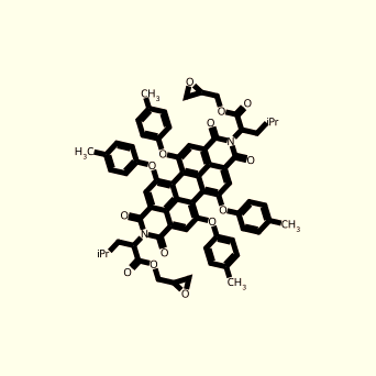 Cc1ccc(Oc2cc3c4c(cc(Oc5ccc(C)cc5)c5c6c(Oc7ccc(C)cc7)cc7c8c(cc(Oc9ccc(C)cc9)c(c2c45)c86)C(=O)N(C(CC(C)C)C(=O)OCC2CO2)C7=O)C(=O)N(C(CC(C)C)C(=O)OCC2CO2)C3=O)cc1